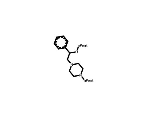 CCCCCOC(CN1CCN(CCCCC)CC1)c1ccccc1